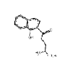 NC(CCC(=O)c1ccc2ccccc2c1O)C(=O)O